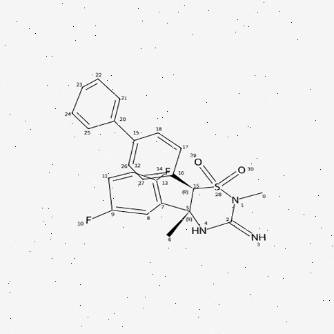 CN1C(=N)N[C@](C)(c2cc(F)ccc2F)[C@@H](c2ccc(-c3ccccc3)cc2)S1(=O)=O